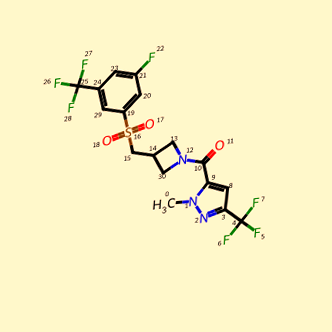 Cn1nc(C(F)(F)F)cc1C(=O)N1CC(CS(=O)(=O)c2cc(F)cc(C(F)(F)F)c2)C1